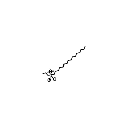 CCCCCCCCCCC=CCCCCC(CCC)(P(=O)=O)[N+](C)(C)C